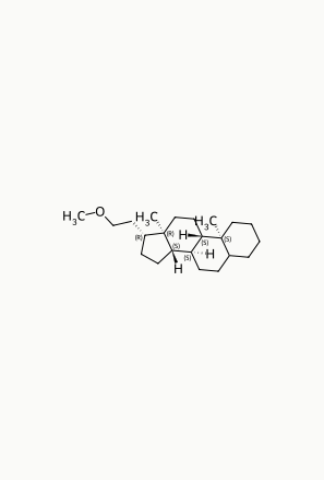 COCC[C@H]1CC[C@H]2[C@@H]3CCC4CCCC[C@]4(C)[C@H]3CC[C@]12C